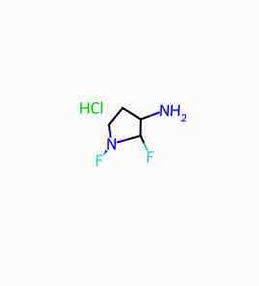 Cl.NC1CCN(F)C1F